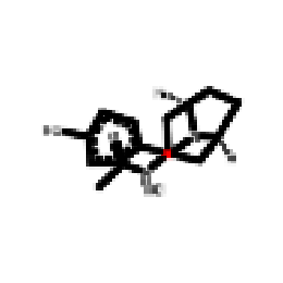 CC(=O)NC1C[C@H]2CC[C@@H](C1)N2Cc1ccc(O)cc1.Cl